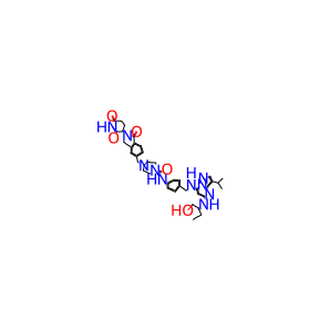 CCC(CO)Nc1cc(NCc2ccc(NC(=O)N3CCN(Cc4ccc5c(c4)CN(C4CCC(=O)NC4=O)C5=O)CC3)cc2)n2ncc(C(C)C)c2n1